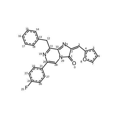 O=C1C(=Cc2ccco2)N=C2C(Cc3ccccc3)=NC(c3ccc(F)cc3)=CN12